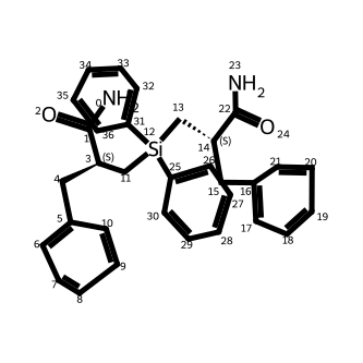 NC(=O)[C@H](Cc1ccccc1)C[Si](C[C@@H](Cc1ccccc1)C(N)=O)(c1ccccc1)c1ccccc1